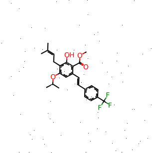 COC(=O)c1c(C=Cc2ccc(C(F)(F)F)cc2)cc(OC(C)C)c(CC=C(C)C)c1O